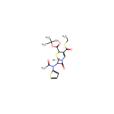 CCSC(=O)C1=CN2C(=O)C(N(C(C)=O)c3cccs3)[C@H]2SC1C(=O)OC(C)(C)C